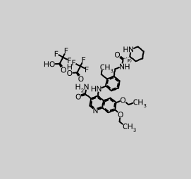 CCOc1cc2ncc(C(N)=O)c(Nc3cccc(CNC(=O)[C@H]4CCCCN4)c3CC)c2cc1OCC.O=C(O)C(F)(F)F.O=C(O)C(F)(F)F